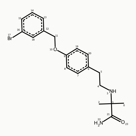 CC(C)(NCCc1ccc(OCc2cccc(Br)c2)cc1)C(N)=O